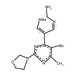 CCCCc1c(C)nc(N2CCOC2)nc1C(/C=N\CN)=C/NC